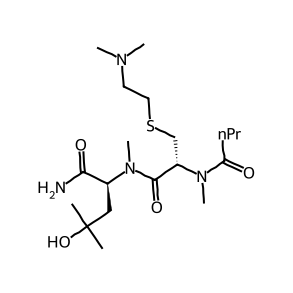 CCCC(=O)N(C)[C@@H](CSCCN(C)C)C(=O)N(C)[C@@H](CC(C)(C)O)C(N)=O